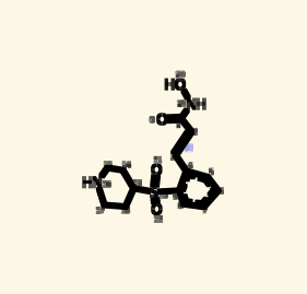 O=C(/C=C/c1ccccc1S(=O)(=O)C1CCNCC1)NO